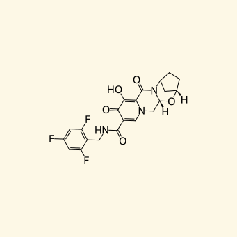 O=C(NCc1c(F)cc(F)cc1F)c1cn2c(c(O)c1=O)C(=O)N1C3CC[C@@H](C3)O[C@@H]1C2